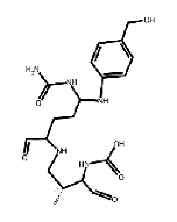 C[C@H](CNC(C=O)CCC(NC(N)=O)Nc1ccc(CO)cc1)C(C=O)NC(=O)O